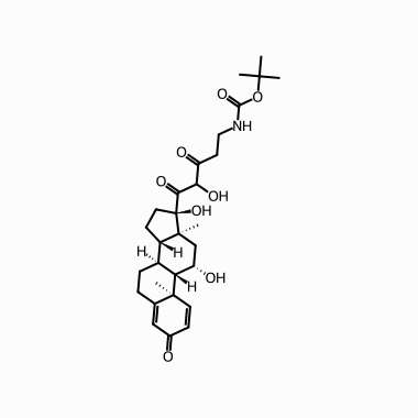 CC(C)(C)OC(=O)NCCC(=O)C(O)C(=O)[C@@]1(O)CC[C@H]2[C@@H]3CCC4=CC(=O)C=C[C@]4(C)[C@H]3[C@@H](O)C[C@@]21C